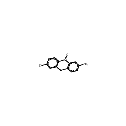 Cc1ccc2c(c1)[S+]([O-])c1ccc(Cl)cc1C2